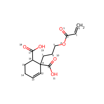 C=CC(=O)OCCCC1(C(=O)O)C=CCCC1C(=O)O